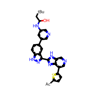 CC(=O)c1ccc(-c2cncc3[nH]c(-c4n[nH]c5ccc(-c6cncc(NC(O)CC(C)(C)C)c6)cc45)nc23)s1